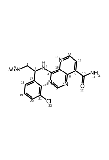 CNCC(Nc1ncnc2c(C(N)=O)ccnc12)c1cccc(Cl)c1